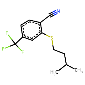 CC(C)CCSc1cc(C(F)(F)F)ccc1C#N